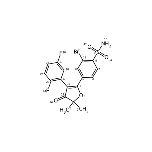 CC1(C)OC(c2ccc(S(N)(=O)=O)c(Br)c2)=C(c2cc(F)ccc2F)C1=O